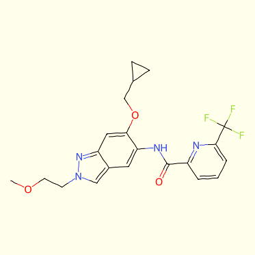 COCCn1cc2cc(NC(=O)c3cccc(C(F)(F)F)n3)c(OCC3CC3)cc2n1